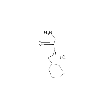 Cl.NCC(=O)OCC1CCCCC1